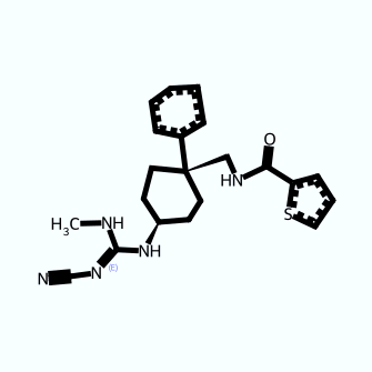 CN/C(=N\C#N)N[C@H]1CC[C@](CNC(=O)c2cccs2)(c2ccccc2)CC1